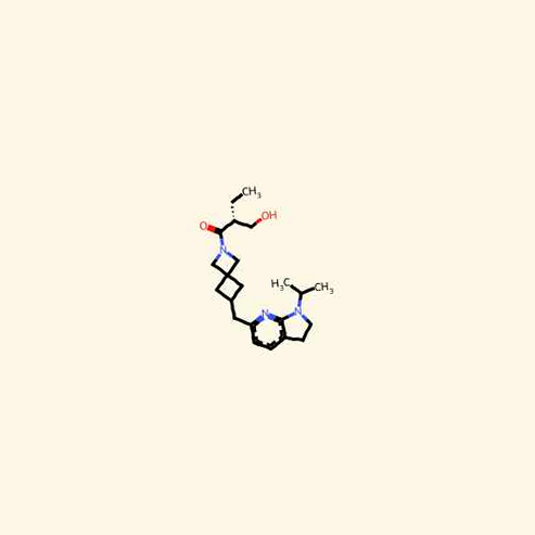 CC[C@H](CO)C(=O)N1CC2(CC(Cc3ccc4c(n3)N(C(C)C)CC4)C2)C1